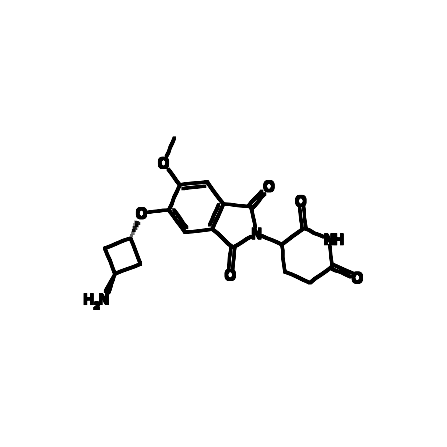 COc1cc2c(cc1O[C@H]1C[C@H](N)C1)C(=O)N(C1CCC(=O)NC1=O)C2=O